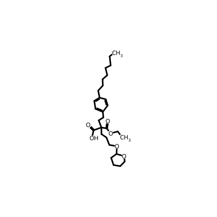 CCCCCCCCc1ccc(CCC(CCCOC2CCCCO2)(C(=O)O)C(=O)OCC)cc1